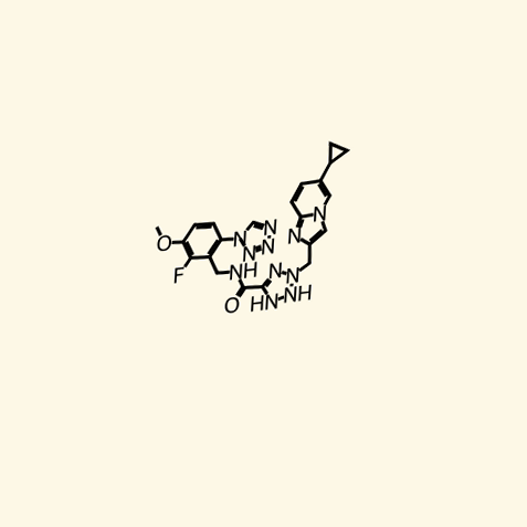 COc1ccc(-n2cnnn2)c(CNC(=O)C2=NN(Cc3cn4cc(C5CC5)ccc4n3)NN2)c1F